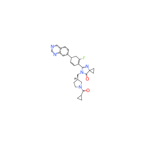 O=C(C1CC1)N1CC[C@@H](CN2C(=O)C3(CC3)N=C2C2=C(F)CC(c3ccc4cncnc4c3)C=C2)C1